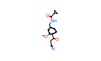 COc1cc(CNC(=O)C2CC2)ccc1C(=O)CC#N